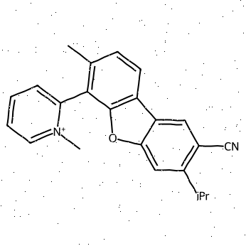 Cc1ccc2c(oc3cc(C(C)C)c(C#N)cc32)c1-c1cccc[n+]1C